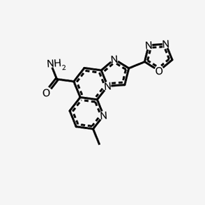 Cc1ccc2c(C(N)=O)cc3nc(-c4nnco4)cn3c2n1